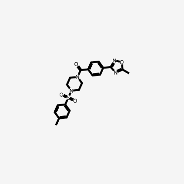 Cc1ccc(S(=O)(=O)N2CCN(C(=O)c3ccc(-c4noc(C)n4)cc3)CC2)cc1